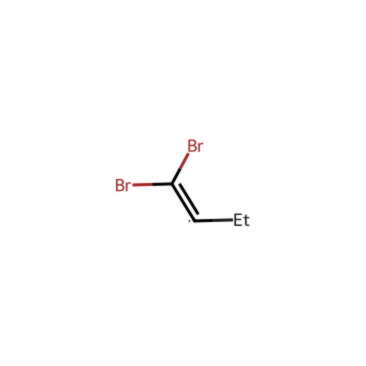 CC[C]=C(Br)Br